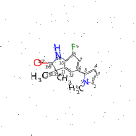 Cn1cccc1-c1cc(F)c2c(c1)C(C)(C)C(=O)N2